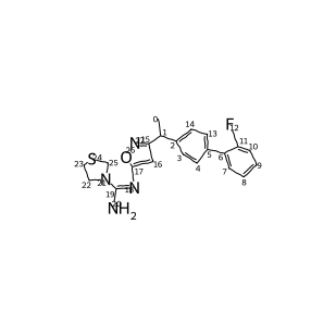 CC(c1ccc(-c2ccccc2F)cc1)c1cc(/N=C(/N)N2CCSC2)on1